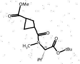 COC(=O)C1CC(C(=O)N(C)[C@H](C(=O)OC(C)(C)C)C(C)C)C1